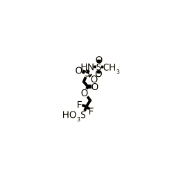 CS(=O)(=O)NS(=O)(=O)CC(=O)OCC(F)(F)S(=O)(=O)O